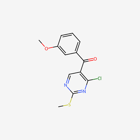 COc1cccc(C(=O)c2cnc(SC)nc2Cl)c1